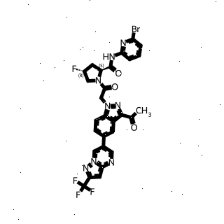 CC(=O)c1nn(CC(=O)N2C[C@H](F)C[C@H]2C(=O)Nc2cccc(Br)n2)c2ccc(-c3cnc4cc(C(F)(F)F)nn4c3)cc12